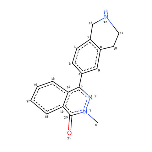 Cn1nc(-c2ccc3c(c2)CCNC3)c2ccccc2c1=O